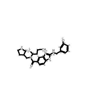 CCCC(C)N(CC1CCOC1)C(=O)c1ccc2oc(NCc3cccc(Cl)c3)nc2c1